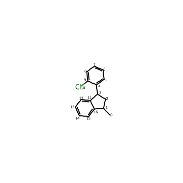 CC1CC(c2ccccc2Cl)c2ccccc21